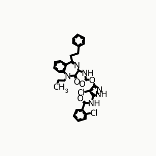 CCCN1C(=O)C(NC(=O)Oc2n[nH]c(NC(=O)c3ccccc3Cl)c2Cl)N=C(CCc2ccccc2)c2ccccc21